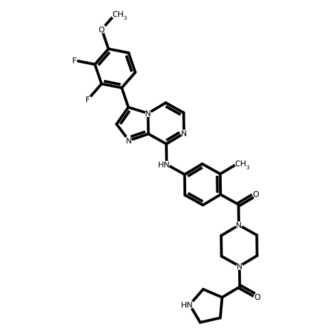 COc1ccc(-c2cnc3c(Nc4ccc(C(=O)N5CCN(C(=O)C6CCNC6)CC5)c(C)c4)nccn23)c(F)c1F